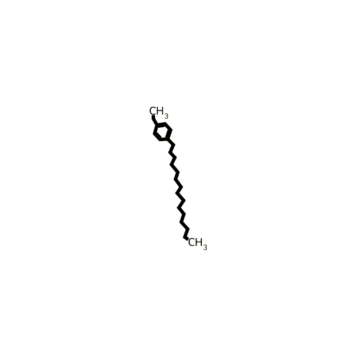 CCCCCCCCCCCCCCCc1ccc(CC)cc1